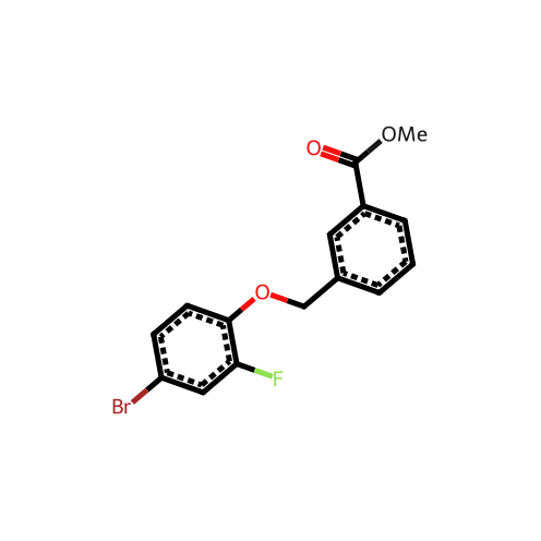 COC(=O)c1cccc(COc2ccc(Br)cc2F)c1